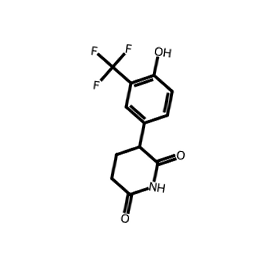 O=C1CCC(c2ccc(O)c(C(F)(F)F)c2)C(=O)N1